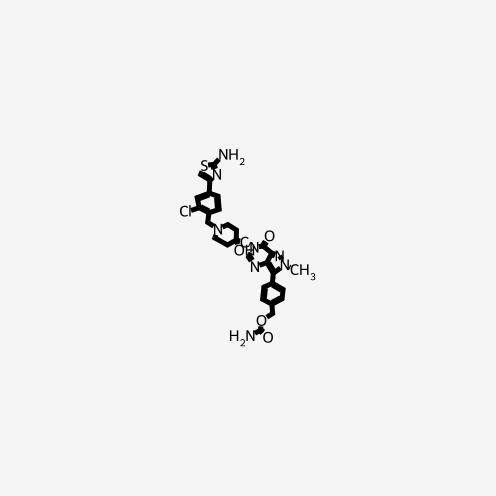 Cn1nc2c(=O)n(CC3(O)CCN(Cc4ccc(-c5csc(N)n5)cc4Cl)CC3)cnc2c1-c1ccc(COC(N)=O)cc1